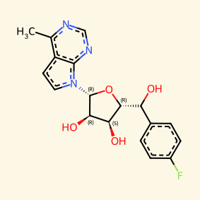 Cc1ncnc2c1ccn2[C@@H]1O[C@H](C(O)c2ccc(F)cc2)[C@@H](O)[C@H]1O